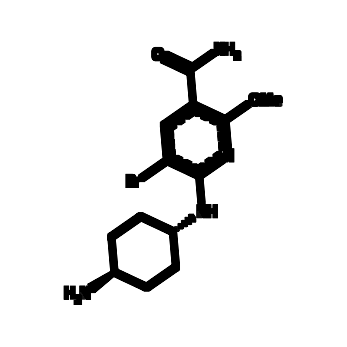 COc1nc(N[C@H]2CC[C@H](N)CC2)c(Br)cc1C(N)=O